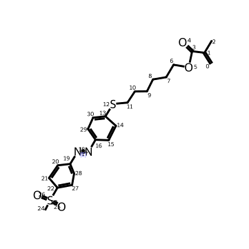 C=C(C)C(=O)OCCCCCCSc1ccc(/N=N/c2ccc(S(C)(=O)=O)cc2)cc1